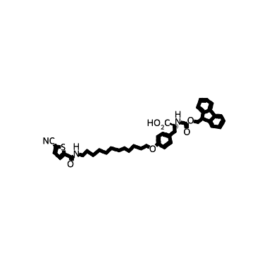 N#Cc1ccc(C(=O)NCCCCCCCCCCCCOc2ccc(C[C@H](NC(=O)OCC3c4ccccc4-c4ccccc43)C(=O)O)cc2)s1